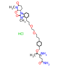 C[C@@H](OCc1ccc(CCCOCCOCCCc2cccc3c2n(C)c(=O)n3C2CCC(=O)N(C)C2=O)cc1)[C@@H](N)CCC(N)=O.Cl